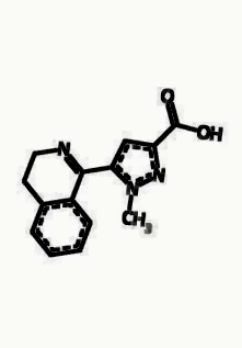 Cn1nc(C(=O)O)cc1C1=NCCc2ccccc21